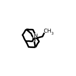 CCN1CC2CC3CC1CN(C3)C2